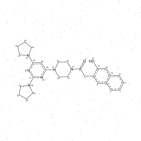 O=C(Cc1cc2ccccc2cc1O)N1CCN(c2cc(N3CCCC3)nc(N3CCCC3)n2)CC1